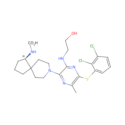 Cc1nc(N2CCC3(CCC[C@H]3NC(=O)O)CC2)c(NCCO)nc1Sc1cccc(Cl)c1Cl